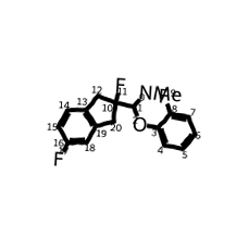 CNC(Oc1ccccc1F)C1(F)Cc2ccc(F)cc2C1